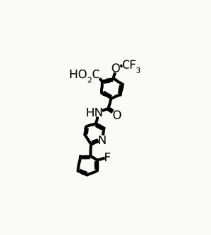 O=C(Nc1ccc(-c2ccccc2F)nc1)c1ccc(OC(F)(F)F)c(C(=O)O)c1